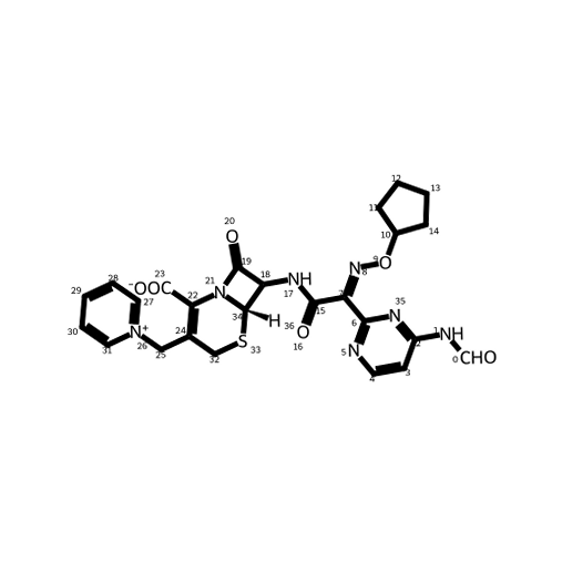 O=CNc1ccnc(C(=NOC2CCCC2)C(=O)NC2C(=O)N3C(C(=O)[O-])=C(C[n+]4ccccc4)CS[C@@H]23)n1